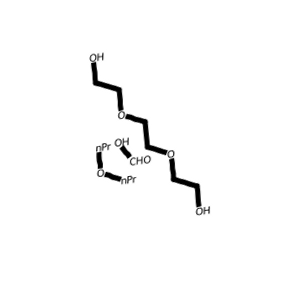 CCCOCCC.O=CO.OCCOCCOCCO